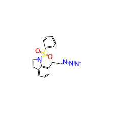 [N-]=[N+]=NCCc1cccc2ccn(S(=O)(=O)c3ccccc3)c12